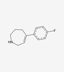 Fc1ccc(C2=CCNCCC2)cc1